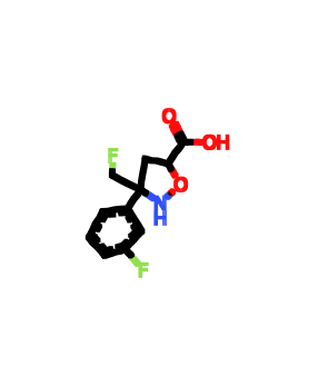 O=C(O)C1CC(CF)(c2cccc(F)c2)NO1